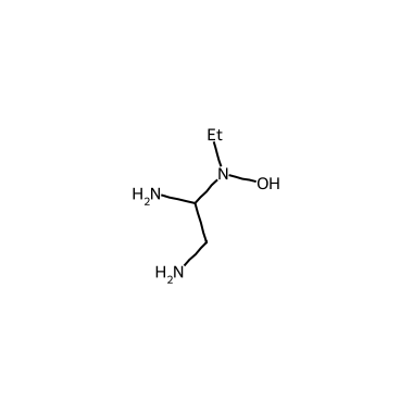 CCN(O)C(N)CN